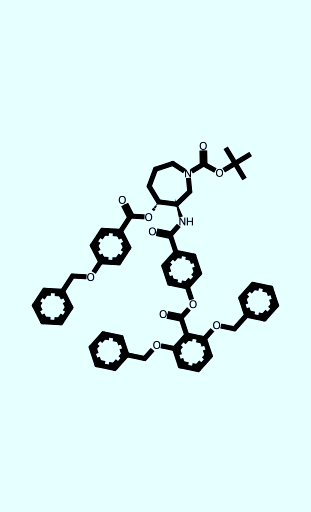 CC(C)(C)OC(=O)N1CCC[C@@H](OC(=O)c2ccc(OCc3ccccc3)cc2)[C@H](NC(=O)c2ccc(OC(=O)c3c(OCc4ccccc4)cccc3OCc3ccccc3)cc2)C1